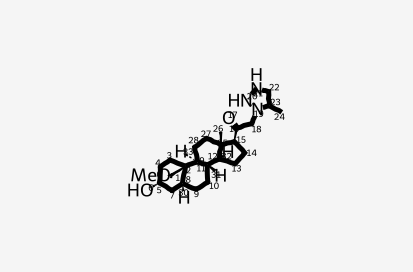 COC[C@]12CC[C@@H](O)C[C@@H]1CC[C@H]1[C@@H]3CC[C@H](C(=O)CN4NNCC4C)[C@@]3(C)CC[C@@H]12